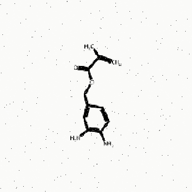 C=C(C)C(=O)OCc1ccc(N)c(N)c1